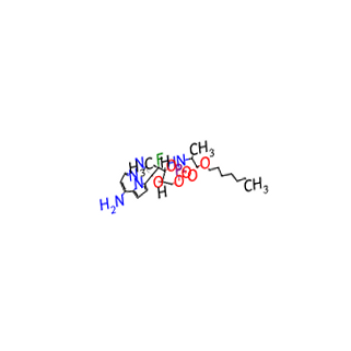 CCCCCCCOC(=O)[C@H](C)NP1(=O)OC[C@H]2O[C@@](C#N)(c3ccc4c(N)ccnn34)[C@](C)(F)[C@@H]2O1